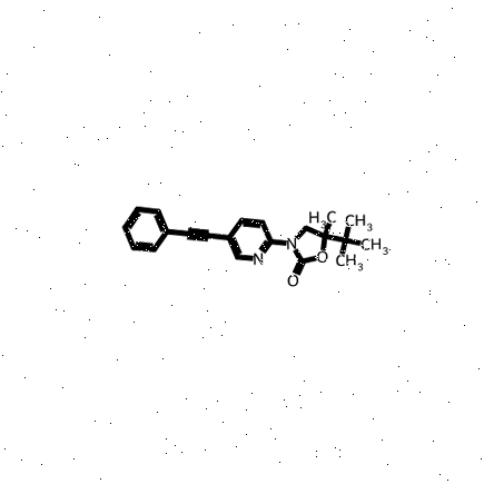 CC(C)(C)C1(C)CN(c2ccc(C#Cc3ccccc3)cn2)C(=O)O1